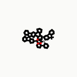 CC1(C)c2ccccc2-c2ccc(N(c3ccc(-c4ccc5c(c4)C4(c6ccccc6-5)c5ccccc5-c5cc6c7ccccc7c7ccccc7c6cc54)cc3)c3ccccc3-c3ccccc3)cc21